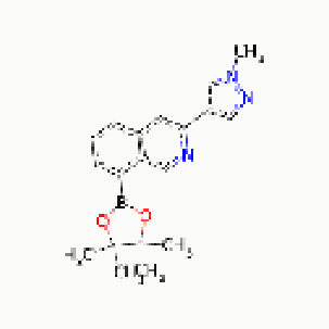 Cn1cc(-c2cc3cccc(B4OC(C)(C)C(C)(C)O4)c3cn2)cn1